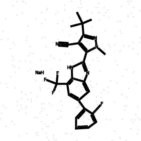 Cn1nc(C(C)(C)C)c(C#N)c1-c1nc2cc(-c3ccccc3F)cc(C(F)(F)F)c2[nH]1.[NaH]